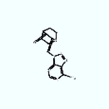 Nc1ncnc2c1nnn2C=C1C(=O)C2CCN1CC2